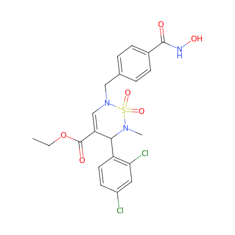 CCOC(=O)C1=CN(Cc2ccc(C(=O)NO)cc2)S(=O)(=O)N(C)C1c1ccc(Cl)cc1Cl